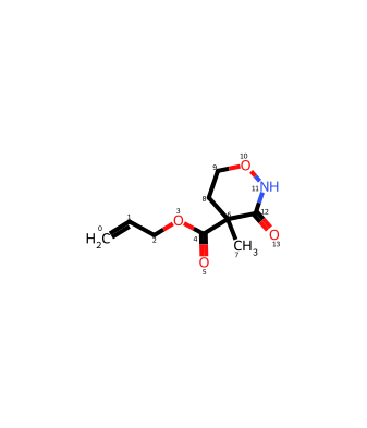 C=CCOC(=O)C1(C)CCONC1=O